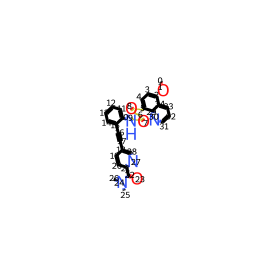 COc1ccc(S(=O)(=O)Nc2ccccc2C#Cc2ccc(C(=O)N(C)C)nc2)c2ncccc12